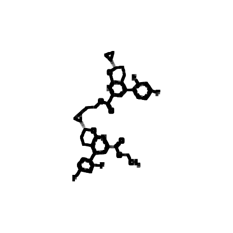 CCOC(=O)c1cc(-c2ccc(F)cc2F)c2c(n1)O[C@@H](C1CC1CCOC(=O)c1cc(-c3ccc(F)cc3F)c3c(n1)O[C@H](C1CC1)CC3)CC2